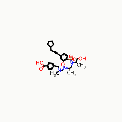 C[C@@H]1CN([C@H](C)CO)S(=O)(=O)c2ccc(C#CCC3CCCC3)cc2ON1CN(C)Cc1ccc(C(=O)O)cc1